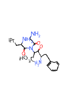 CC(C)CC(N)C(=O)N(C(=O)CN)C(C(=O)O)C(=O)C(N)Cc1ccccc1